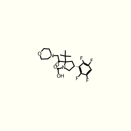 CC(C)(C)C1(C(=O)CN2CCOCC2)C[C@H](c2c(F)c(F)cc(F)c2F)CN1C(=O)O